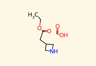 CCOC(=O)CC1CNC1.O=CO